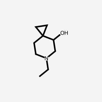 CCN1CCC2(CC2)C(O)C1